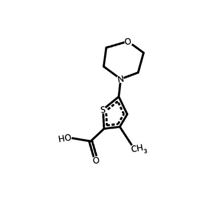 Cc1cc(N2CCOCC2)sc1C(=O)O